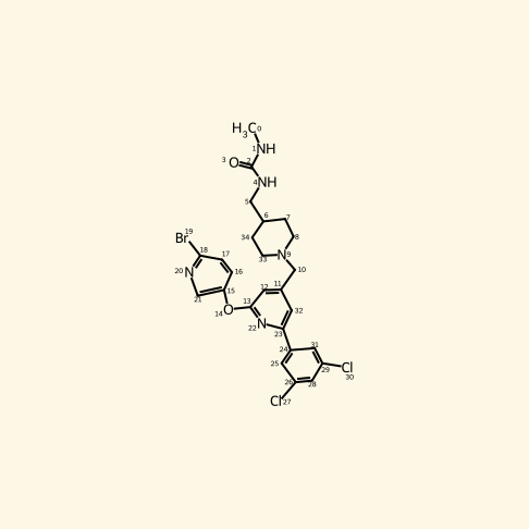 CNC(=O)NCC1CCN(Cc2cc(Oc3ccc(Br)nc3)nc(-c3cc(Cl)cc(Cl)c3)c2)CC1